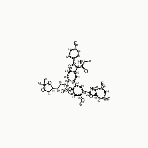 CNC(=O)c1c(-c2ccc(F)cc2)oc2cc(N(CCC3COC(C)(C)O3)S(C)(=O)=O)c(-c3ccc(OC)c(-c4nc5c(F)cc(F)cc5o4)c3)cc12